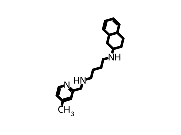 Cc1ccnc(CNCCCCNC2CCC3C=CC=CC3C2)c1